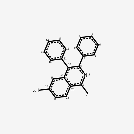 Cc1nc(-c2ccccc2)c(-c2ccccc2)c2cc(I)ccc12